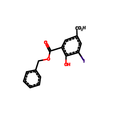 O=C(O)c1cc(I)c(O)c(C(=O)OCc2ccccc2)c1